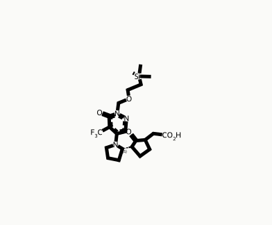 C[Si](C)(C)CCOCn1ncc(N2CCC[C@H]2C2CCC(CC(=O)O)C2=O)c(C(F)(F)F)c1=O